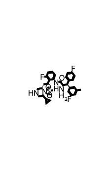 Cc1cc(F)cc([C@H](c2ccc(F)cc2)[C@H](N)C(=O)Nc2cccc(F)c2CC[C@H]2CNCC(C3CC3)N2S(C)(=O)=O)c1